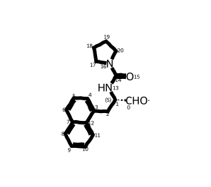 O=[C][C@H](Cc1cccc2ccccc12)NC(=O)N1CCCC1